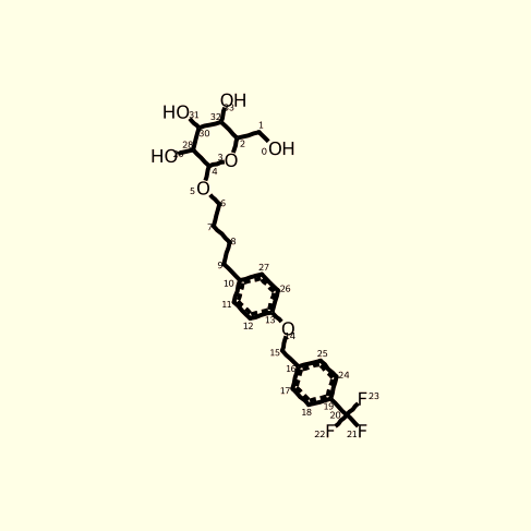 OCC1OC(OCCCCc2ccc(OCc3ccc(C(F)(F)F)cc3)cc2)C(O)C(O)C1O